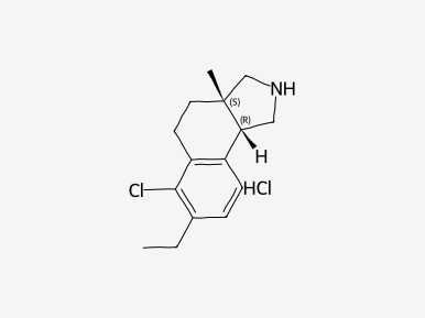 CCc1ccc2c(c1Cl)CC[C@]1(C)CNC[C@H]21.Cl